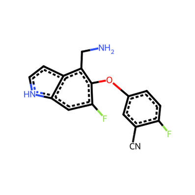 N#Cc1cc(Oc2c(F)cc3[nH]ccc3c2CN)ccc1F